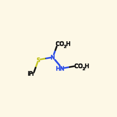 CC(C)SN(NC(=O)O)C(=O)O